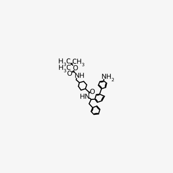 CC(C)(C)OC(=O)NCC1CCC(C(=O)NC(Cc2ccccc2)c2cccc(-c3ccc(N)cc3)c2)CC1